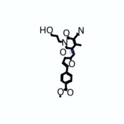 COC(=O)c1ccc(C2=CCC(/C=C3\C(=O)N(CCCO)C(=O)C(C#N)=C3C)O2)cc1